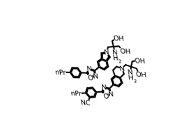 CCCc1ccc(-c2nc(-c3ccc4c(c3)CCN(CC(N)(CO)CO)C4)no2)cc1C#N.CCCc1ccc(-c2nc(-c3ccc4cn(CC(N)(CO)CO)cc4c3)no2)cc1